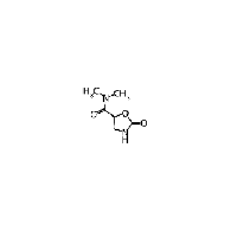 CN(C)C(=O)C1CNC(=O)O1